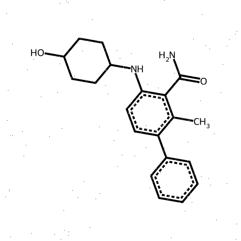 Cc1c(-c2ccccc2)ccc(NC2CCC(O)CC2)c1C(N)=O